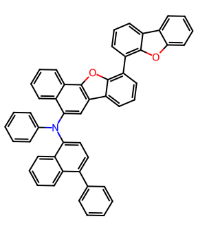 c1ccc(-c2ccc(N(c3ccccc3)c3cc4c5cccc(-c6cccc7c6oc6ccccc67)c5oc4c4ccccc34)c3ccccc23)cc1